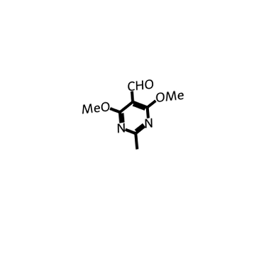 COc1nc(C)nc(OC)c1C=O